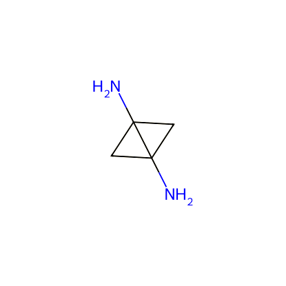 NC12CC1(N)C2